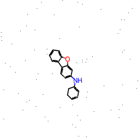 C1=CCCC(Nc2ccc3c(c2)oc2ccccc23)=C1